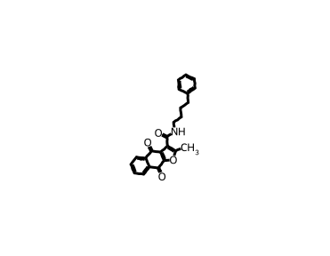 Cc1oc2c(c1C(=O)NCCCCc1ccccc1)C(=O)c1ccccc1C2=O